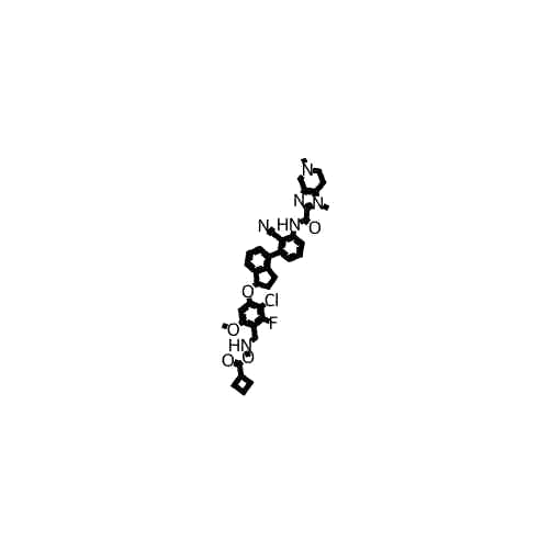 COc1cc(OC2CCc3c(-c4cccc(NC(=O)c5nc6c(n5C)CCN(C)C6)c4C#N)cccc32)c(Cl)c(F)c1CNOC(=O)C1CCC1